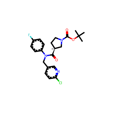 CC(C)(C)OC(=O)N1CC[C@H](C(=O)N(Cc2ccc(Cl)nc2)c2ccc(F)cc2)C1